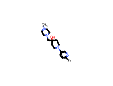 CCc1ccc(N2CCC(O)(CN3CCN(C)CC3)CC2)cn1